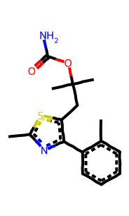 Cc1nc(-c2ccccc2C)c(CC(C)(C)OC(N)=O)s1